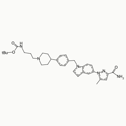 Cc1cc(C(N)=O)nn1-c1ccc2c(ccn2Cc2ccc(C3CCN(CCCNC(=O)OC(C)(C)C)CC3)cc2)c1